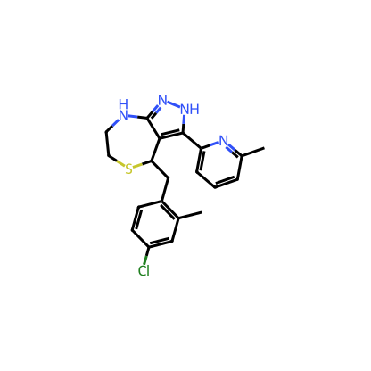 Cc1cccc(-c2[nH]nc3c2C(Cc2ccc(Cl)cc2C)SCCN3)n1